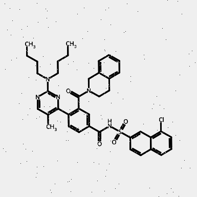 CCCCN(CCCC)c1ncc(C)c(-c2ccc(C(=O)NS(=O)(=O)c3ccc4cccc(Cl)c4c3)cc2C(=O)N2CCc3ccccc3C2)n1